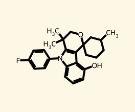 CC1CCCC2(C1)OCC(C)(C)c1c2c2c(O)cccc2n1-c1ccc(F)cc1